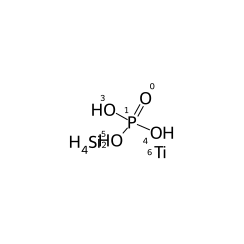 O=P(O)(O)O.[SiH4].[Ti]